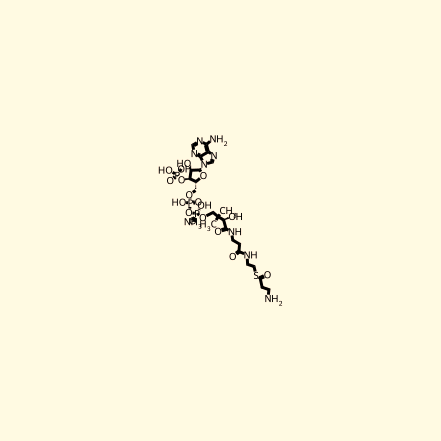 CC(C)(COP(=O)(O)OP(=O)(O)OC[C@H]1O[C@@H](n2cnc3c(N)ncnc32)[C@H](O)[C@@H]1OP(=O)(O)O)[C@@H](O)C(=O)NCCC(=O)NCCSC(=O)CCN.N